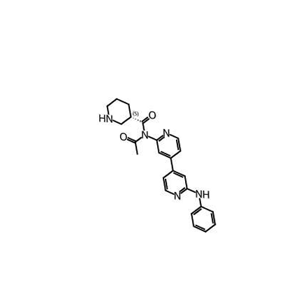 CC(=O)N(C(=O)[C@H]1CCCNC1)c1cc(-c2ccnc(Nc3ccccc3)c2)ccn1